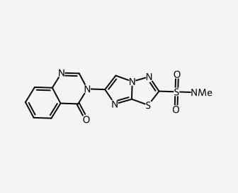 CNS(=O)(=O)c1nn2cc(-n3cnc4ccccc4c3=O)nc2s1